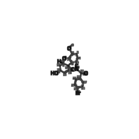 COc1ccc2c3c1O[C@H]1C[C@@H](O)C=CC31CCN(C(=O)c1ccc(Br)cc1)C2